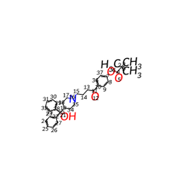 CC(C)(C)C(=O)Oc1ccc(C(=O)CCCN2CCC(C(O)(c3ccccc3)c3ccccc3)CC2)cc1